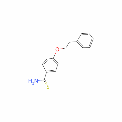 NC(=S)c1ccc(OCCc2ccccc2)cc1